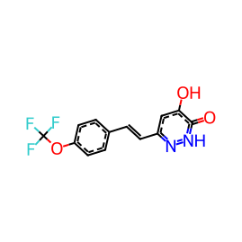 O=c1[nH]nc(C=Cc2ccc(OC(F)(F)F)cc2)cc1O